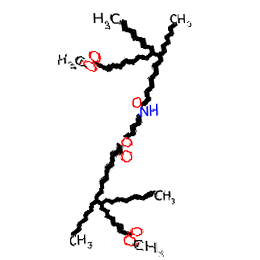 CCCCCCCCC(CCCCCCCC(=O)COCCCCCNC(=O)CCCCCCCC(CCCCCCCC)C(CCCCCCCC)CCCCCCCC(=O)OC)C(CCCCCCCC)CCCCCCCC(=O)OC